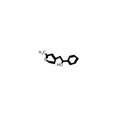 Cc1cc(CC(O)c2ccccc2)ccn1